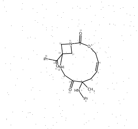 CC(C)NC1(C)C/C=C\COC(=O)N2CC(C(=O)C(C)C)(C2)NCC1=O